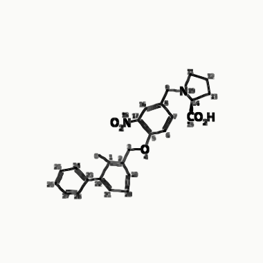 Cc1c(COc2ccc(CN3CCC[C@H]3C(=O)O)cc2[N+](=O)[O-])cccc1-c1ccccc1